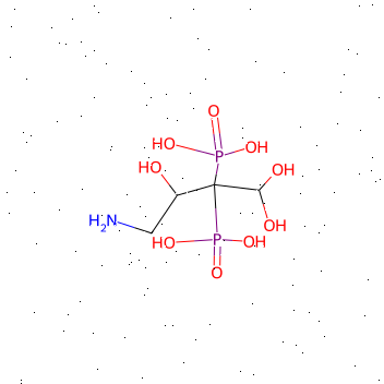 NCC(O)C(C(O)O)(P(=O)(O)O)P(=O)(O)O